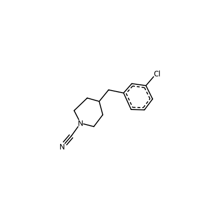 N#CN1CCC(Cc2cccc(Cl)c2)CC1